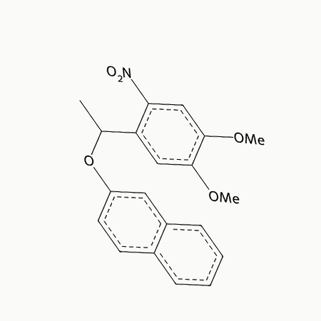 COc1cc(C(C)Oc2ccc3ccccc3c2)c([N+](=O)[O-])cc1OC